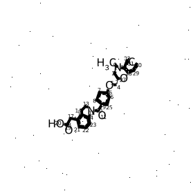 CN1C[C@@H](COc2ccc(C(=O)N3CCc4c(CC(=O)O)cccc43)cc2)Oc2ccccc21